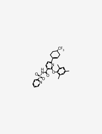 Cc1cc(C)c(Oc2nc(C3=CCC(C(F)(F)F)CC3)ccc2C(=O)NS(=O)(=O)c2ccccn2)c(C)c1